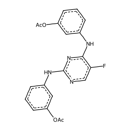 CC(=O)Oc1cccc(Nc2ncc(F)c(Nc3cccc(OC(C)=O)c3)n2)c1